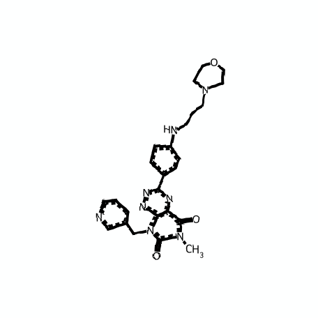 Cn1c(=O)c2nc(-c3ccc(NCCCN4CCOCC4)cc3)nnc2n(Cc2cccnc2)c1=O